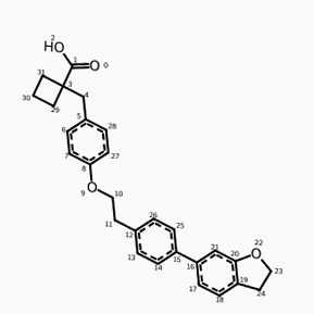 O=C(O)C1(Cc2ccc(OCCc3ccc(-c4ccc5c(c4)OCC5)cc3)cc2)CCC1